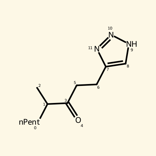 CCCCCC(C)C(=O)CCc1c[nH]nn1